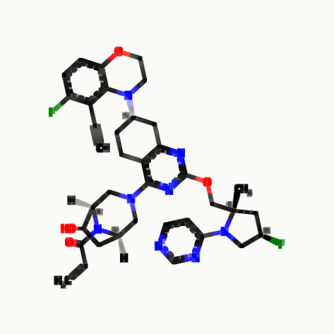 C#Cc1c(F)ccc2c1N([C@H]1CCc3c(nc(OC[C@]4(C)C[C@@H](F)CN4c4ccncn4)nc3N3C[C@H]4CC(O)[C@@H](C3)N4C(=O)C=C)C1)CCO2